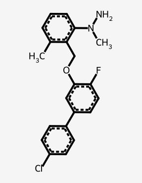 Cc1cccc(N(C)N)c1COc1cc(-c2ccc(Cl)cc2)ccc1F